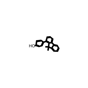 CC1(C)c2ccccc2-c2cccc(-c3ccc(O)cc3)c21